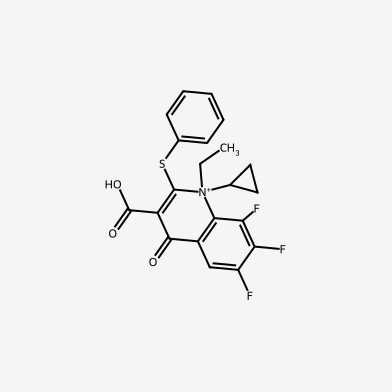 CC[N+]1(C2CC2)C(Sc2ccccc2)=C(C(=O)O)C(=O)c2cc(F)c(F)c(F)c21